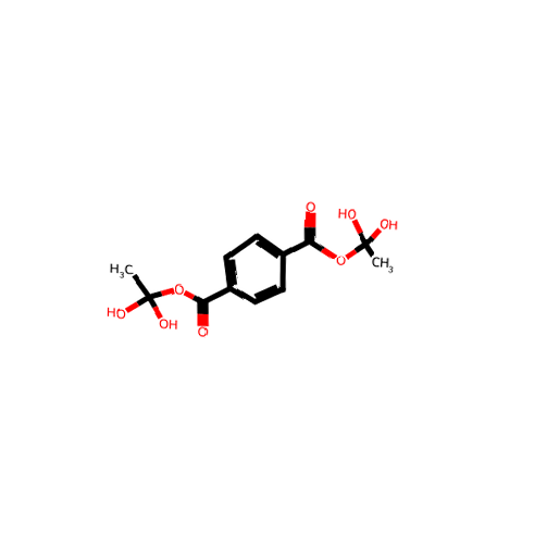 CC(O)(O)OC(=O)c1ccc(C(=O)OC(C)(O)O)cc1